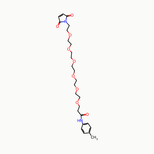 Cc1ccc(NC(=O)CCOCCOCCOCCOCCOCCOCCN2C(=O)C=CC2=O)cc1